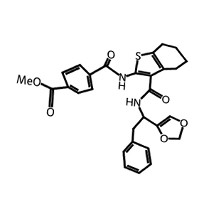 COC(=O)c1ccc(C(=O)Nc2sc3c(c2C(=O)NC(Cc2ccccc2)C2=COCO2)CCCC3)cc1